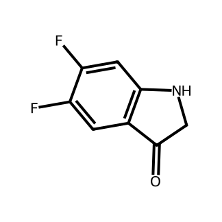 O=C1CNc2cc(F)c(F)cc21